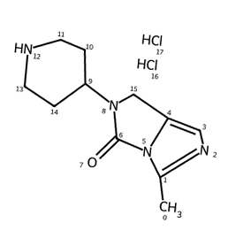 Cc1ncc2n1C(=O)N(C1CCNCC1)C2.Cl.Cl